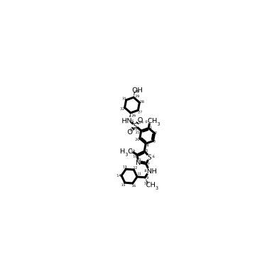 Cc1ccc(-c2sc(N[C@H](C)C3CCCCC3)nc2C)cc1S(=O)(=O)N[C@H]1CC[C@@H](O)CC1